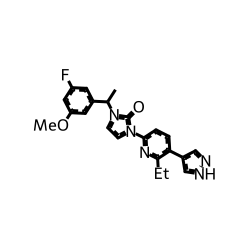 CCc1nc(-n2ccn(C(C)c3cc(F)cc(OC)c3)c2=O)ccc1-c1cn[nH]c1